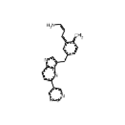 C=c1ccc(Cc2cnc3ccc(-c4cncnc4)nn23)c/c1=C/C=C\N